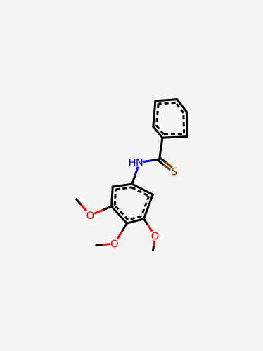 COc1cc(NC(=S)c2ccccc2)cc(OC)c1OC